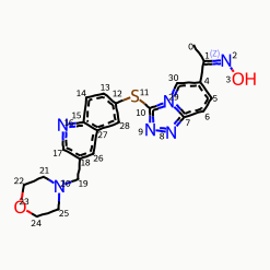 C/C(=N/O)c1ccc2nnc(Sc3ccc4ncc(CN5CCOCC5)cc4c3)n2c1